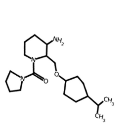 CC(C)C1CCC(OCC2C(N)CCCN2C(=O)N2CCCC2)CC1